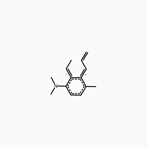 C=C/C=c1/c(C)ccc(N(C)C)/c1=C/C